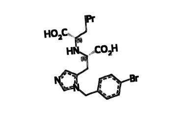 CC(C)C[C@H](N[C@@H](Cc1cncn1Cc1ccc(Br)cc1)C(=O)O)C(=O)O